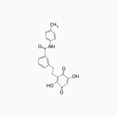 Cc1ccc(NC(=O)c2cccc(CCC3=C(O)C(=O)C=C(O)C3=O)c2)cc1